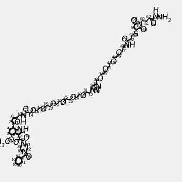 COc1ccc(-c2ccc(CNC(=O)COCCOCCOCCOCCOCCOCCn3cc(COCCOCCOCCOCCNC(=O)CCSC4CC(=O)N(CCCC(=O)NN)C4=O)nn3)o2)c2[nH]cc(C(=O)C(=O)N3CCN(C(=O)c4ccccc4)CC3)c12